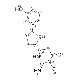 N=C1N[C@H](C2CC=C(c3cccc(O)c3)S2)CC(=O)N1Cl